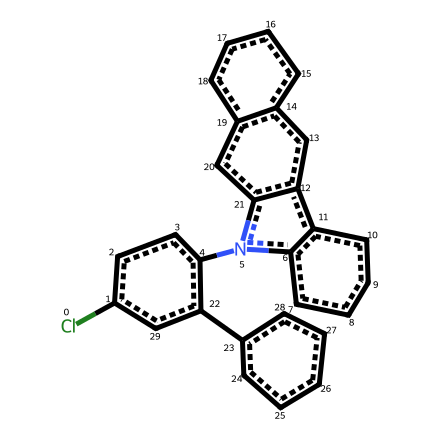 Clc1ccc(-n2c3ccccc3c3cc4ccccc4cc32)c(-c2ccccc2)c1